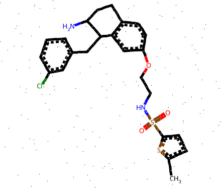 Cc1ccc(S(=O)(=O)NCCOc2ccc3c(c2)C(Cc2cccc(Cl)c2)C(N)CC3)s1